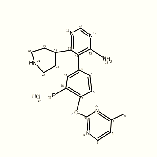 Cc1ccnc(Oc2ccc(-c3c(N)ncnc3C3CCNCC3)cc2F)n1.Cl